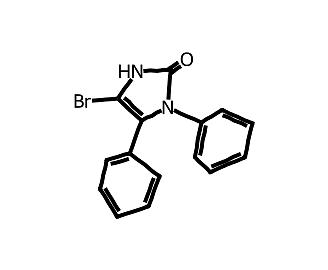 O=c1[nH]c(Br)c(-c2ccccc2)n1-c1ccccc1